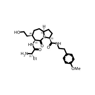 CC[C@H](N)C(=O)N[C@@H]1C(=O)N2[C@@H](CC[C@@H]1CCO)CC[C@H]2C(=O)NCCc1ccc(OC)cc1